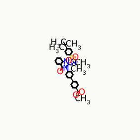 COC(=O)c1ccc(-c2ccc(-n3c(C(C)N(C)S(=O)(=O)c4ccc(C(C)(C)C)cc4)nc4ccccc4c3=O)cc2)cc1